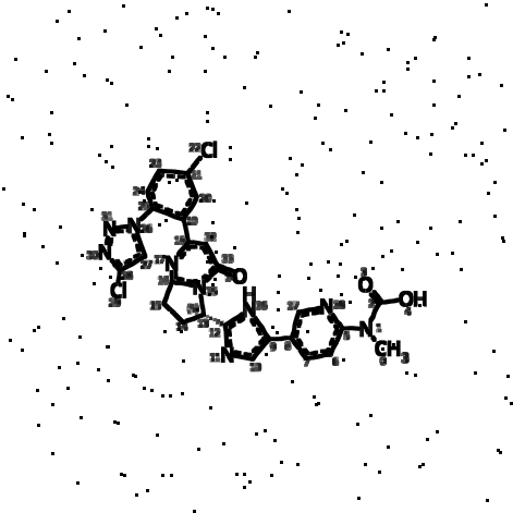 CN(C(=O)O)c1ccc(-c2cnc([C@@H]3CCc4nc(-c5cc(Cl)ccc5-n5cc(Cl)nn5)cc(=O)n43)[nH]2)cn1